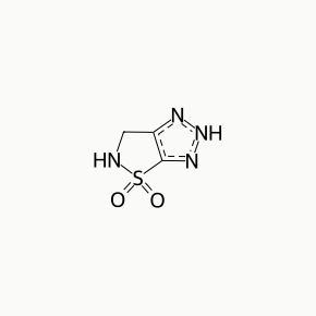 O=S1(=O)NCc2n[nH]nc21